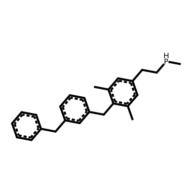 CPCCc1cc(C)c(Cc2cccc(Cc3ccccc3)c2)c(C)c1